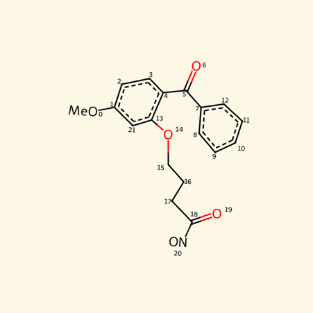 COc1ccc(C(=O)c2ccccc2)c(OCCCC(=O)N=O)c1